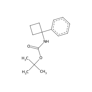 CC(C)(C)OC(=O)NC1(c2ccccc2)CCC1